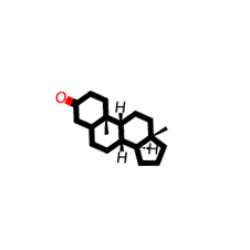 C[C@@]12CCC[C@H]1[C@@H]1CCC3CC(=O)CC[C@]3(C)[C@@H]1CC2